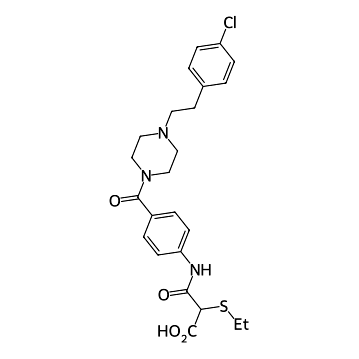 CCSC(C(=O)O)C(=O)Nc1ccc(C(=O)N2CCN(CCc3ccc(Cl)cc3)CC2)cc1